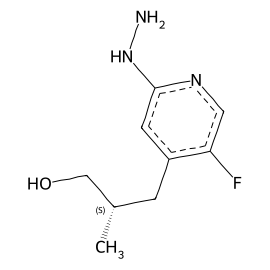 C[C@H](CO)Cc1cc(NN)ncc1F